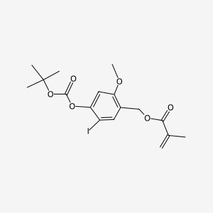 C=C(C)C(=O)OCc1cc(I)c(OC(=O)OC(C)(C)C)cc1OC